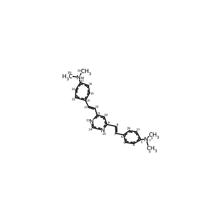 CN(C)c1ccc(C=Cc2cc(/C=C/c3ccc(N(C)C)cc3)ncn2)cc1